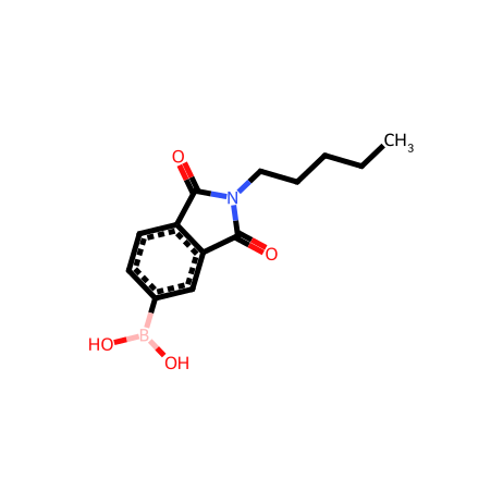 CCCCCN1C(=O)c2ccc(B(O)O)cc2C1=O